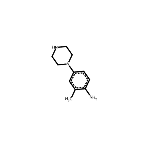 Cc1cc(N2CCNCC2)ccc1N